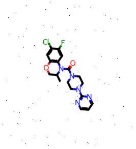 CC1COc2cc(Cl)c(F)cc2N1C(=O)N1CCN(c2ncccn2)CC1